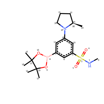 CNS(=O)(=O)c1cc(B2OC(C)(C)C(C)(C)O2)cc(N2CCC[C@H]2C)c1